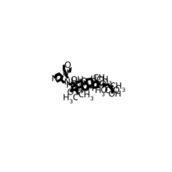 CC(C)C1=C2[C@H]3CC[C@@H]4[C@@]5(C)CC[C@H](OC(=O)CC(C)(C)C(=O)O)C(C)(C)[C@H]5CC[C@@]4(C)[C@]3(C)CCC2(C(O)CN(CCN2CCOCC2)Cc2cccnc2)CC1=O